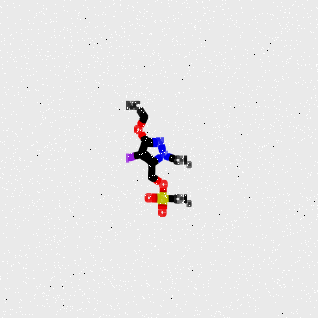 Cn1nc(OCC#N)c(I)c1COS(C)(=O)=O